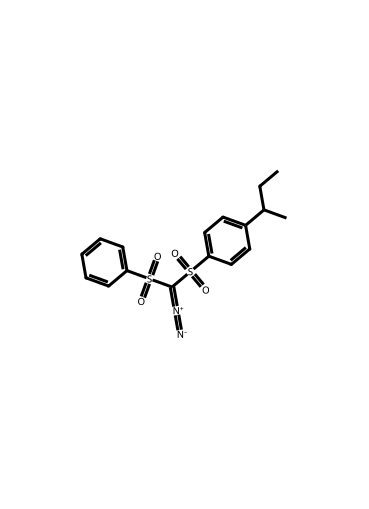 CCC(C)c1ccc(S(=O)(=O)C(=[N+]=[N-])S(=O)(=O)c2ccccc2)cc1